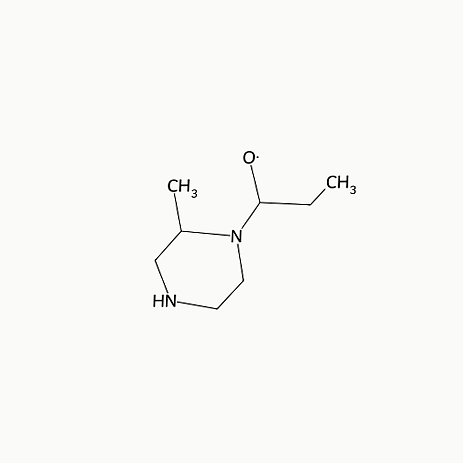 CCC([O])N1CCNCC1C